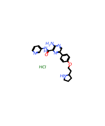 Cl.Nc1ncc(-c2ccc(OCCC3CCCN3)cc2)nc1C(=O)Nc1cccnc1